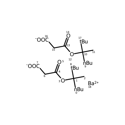 CCCCC(C)(OC(=O)CC(=O)[O-])C(C)(C)C.CCCCC(C)(OC(=O)CC(=O)[O-])C(C)(C)C.[Ba+2]